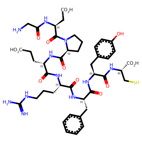 N=C(N)NCCC[C@H](NC(=O)[C@H](CCC(=O)O)NC(=O)[C@@H]1CCCN1C(=O)[C@H](CC(=O)O)NC(=O)CN)C(=O)N[C@@H](Cc1ccccc1)C(=O)N[C@@H](Cc1ccc(O)cc1)C(=O)N[C@@H](CS)C(=O)O